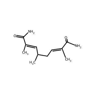 C/C(=C\CC(C)/C=C(\C)C(N)=O)C(N)=O